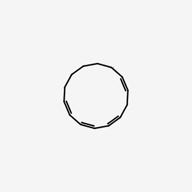 [CH]1C=CCC=CC=CC=CCCCC1